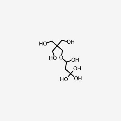 OCC(CO)(CO)COC(O)CC(O)(O)O